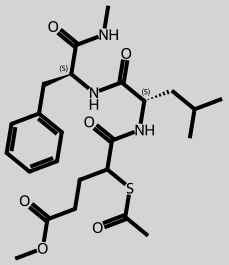 CNC(=O)[C@H](Cc1ccccc1)NC(=O)[C@H](CC(C)C)NC(=O)C(CCC(=O)OC)SC(C)=O